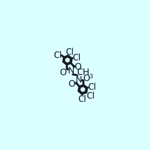 CC(CN1C(=O)c2cc(Cl)c(Cl)c(Cl)c2C1=O)N1C(=O)c2cc(Cl)c(Cl)c(Cl)c2C1=O